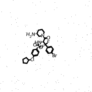 N[C@@H]1CCCN(C(=O)[C@H](NS(=O)(=O)c2ccc(OC3CCCC3)cc2)C(F)(F)c2ccc(Br)cc2)C1